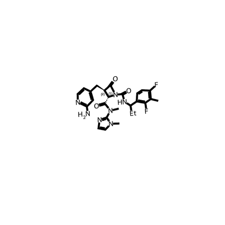 CCC(NC(=O)N1C(=O)[C@H](Cc2ccnc(N)c2)[C@H]1C(=O)N(C)c1nccn1C)c1ccc(F)c(C)c1F